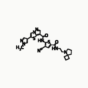 Cn1cc(-c2cn3ncc(C(=O)Nc4sc(C(=O)NCCN5CCCC56CCC6)cc4C#N)c3s2)cn1